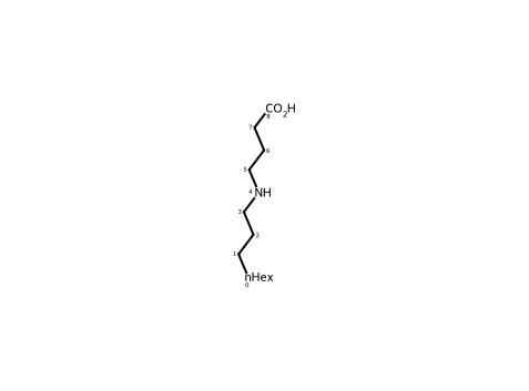 CCCCCCCCCNCCCC(=O)O